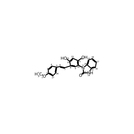 COc1ccc(/C=C/c2cc(-n3c(=O)[nH]c4ccccc43)c(O)cc2O)cc1